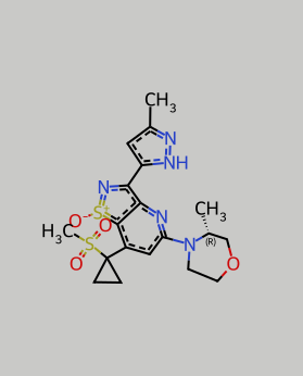 Cc1cc(-c2n[s+]([O-])c3c(C4(S(C)(=O)=O)CC4)cc(N4CCOC[C@H]4C)nc23)[nH]n1